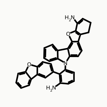 NC1=CCCc2c1oc1c2ccc2c1c1ccccc1n2-c1cccc(N)c1-c1ccc2oc3ccccc3c2c1